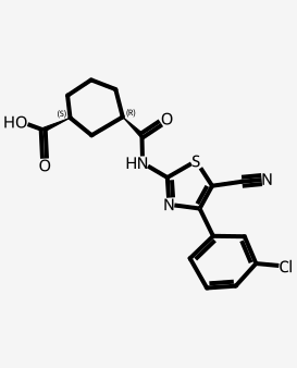 N#Cc1sc(NC(=O)[C@@H]2CCC[C@H](C(=O)O)C2)nc1-c1cccc(Cl)c1